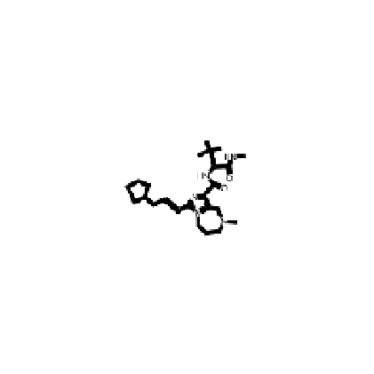 CNC(=O)C(NC(=O)c1nc(C=CCC2CCCC2)n2c1CN(C)CCC2)C(C)(C)C